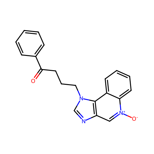 O=C(CCCn1cnc2c[n+]([O-])c3ccccc3c21)c1ccccc1